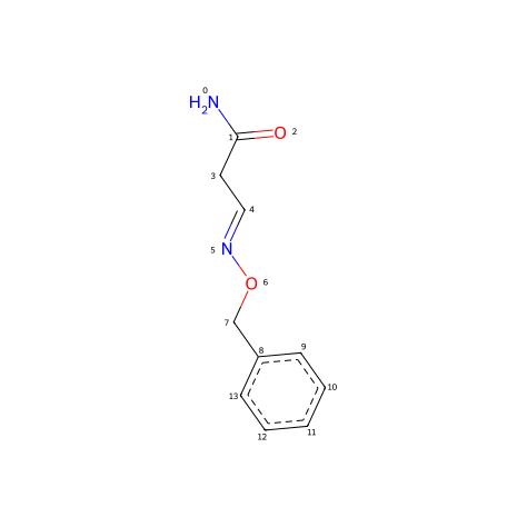 NC(=O)CC=NOCc1ccccc1